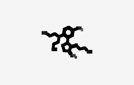 C=C1COC(c2cc(N)ccc2N(CCO)CCO)C1=NCCO